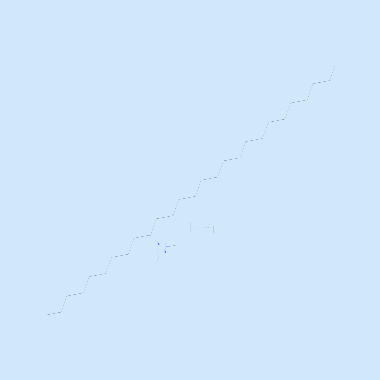 Br.CCCCCCCCCCCCCCCCCC(CCCCCCCCC)N(C)C